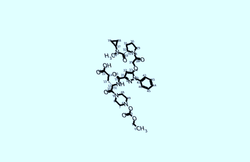 CCOC(=O)ON1CCN(C(=O)[C@H](CCC(=O)O)NC(=O)c2cc(OCC(=O)N3CCC[C@H]3C(=O)N(C)C3CC3)n(-c3ccccc3)n2)CC1